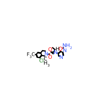 C[C@@H]1c2c(Cl)cc(C(F)(F)F)cc2CCN1C(=O)[C@@]12C[C@@H](CO1)N(c1cncc3nc(N)oc13)C2